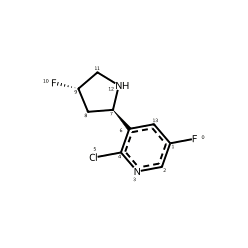 Fc1cnc(Cl)c([C@H]2C[C@H](F)CN2)c1